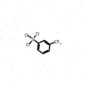 FC(F)(F)c1cccc([Si](Cl)(Cl)Cl)c1